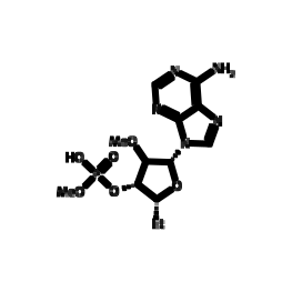 CC[C@H]1O[C@@H](n2cnc3c(N)ncnc32)C(OC)[C@H]1OP(=O)(O)OC